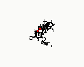 Cc1nsc(N2C[C@H]3CC[C@@H](C2)[C@@H]3Nc2nc3c(OCC(F)(F)F)cc(Cl)cn3n2)n1